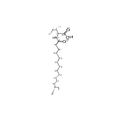 CC[C@H](C)[C@H](NC(=O)CCCCCCCCCCCC(C)C)C(=O)O